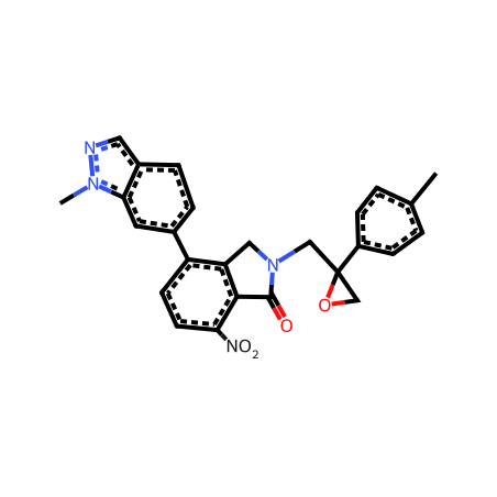 Cc1ccc(C2(CN3Cc4c(-c5ccc6cnn(C)c6c5)ccc([N+](=O)[O-])c4C3=O)CO2)cc1